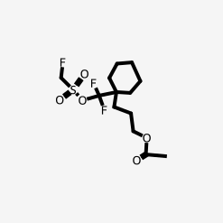 CC(=O)OCCCC1(C(F)(F)OS(=O)(=O)CF)CCCCC1